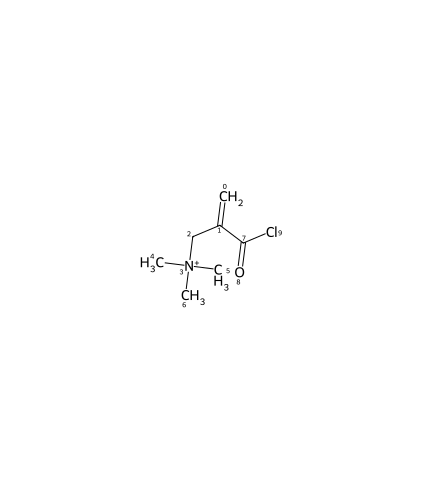 C=C(C[N+](C)(C)C)C(=O)Cl